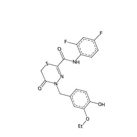 CCOc1cc(CN2N=C(C(=O)Nc3ccc(F)cc3F)SCC2=O)ccc1O